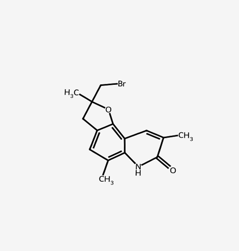 Cc1cc2c3c(cc(C)c2[nH]c1=O)CC(C)(CBr)O3